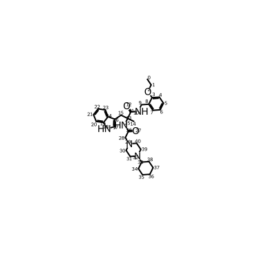 CCOc1ccccc1CNC(=O)C(C)(Cc1c[nH]c2ccccc12)NC(=O)CN1CCN(C2CCCCC2)CC1